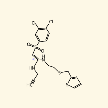 C#CCN/C(=C/S(=O)(=O)c1ccc(Cl)c(Cl)c1)NCCSCc1nccs1